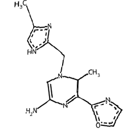 Cc1c[nH]c(CN2C=C(N)N=C(c3ncco3)C2C)n1